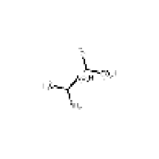 CC(N)C(=O)O.O=C(O)CO